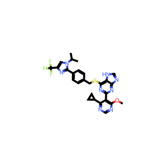 COc1ncnc(C2CC2)c1-c1nc(SCc2ccc(-c3nc(C(F)(F)F)cn3C(C)C)cc2)c2[nH]cnc2n1